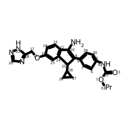 CC(C)OC(=O)Nc1ccc(C2=C(N)c3ccc(OCc4ncn[nH]4)cc3C2C2CC2)cc1